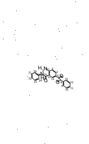 Nc1ccc(S(=O)(=O)c2ccccc2)cc1C(=O)Nc1ccccc1